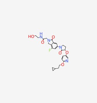 O=C(CN1Cc2c(F)cc(N3CC[C@@H](Oc4ccc(OCCC5CC5)nc4)C3=O)cc2C1=O)NCCO